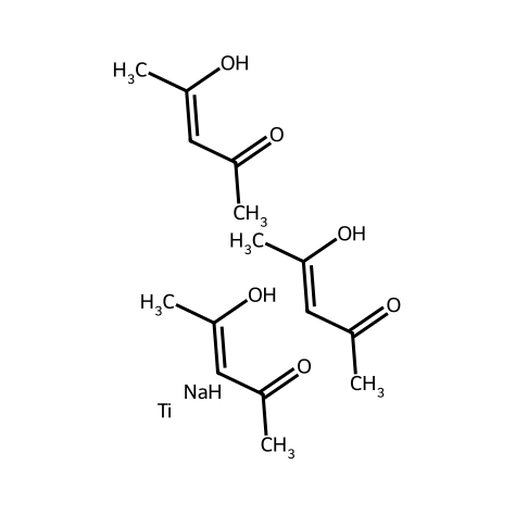 CC(=O)/C=C(/C)O.CC(=O)/C=C(/C)O.CC(=O)/C=C(/C)O.[NaH].[Ti]